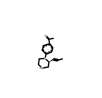 CC#C[C@H]1CNCCN1c1ccc(C(C)=O)cc1